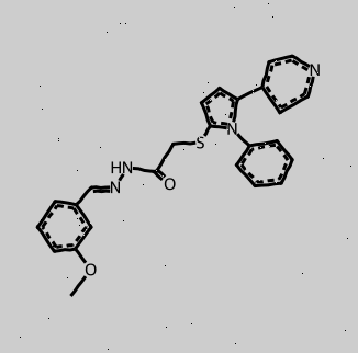 COc1cccc(/C=N/NC(=O)CSc2ccc(-c3ccncc3)n2-c2ccccc2)c1